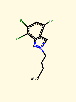 COCCCn1cc2c(Br)cc(F)c(F)c2n1